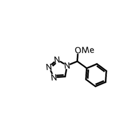 COC(c1ccccc1)n1cnnn1